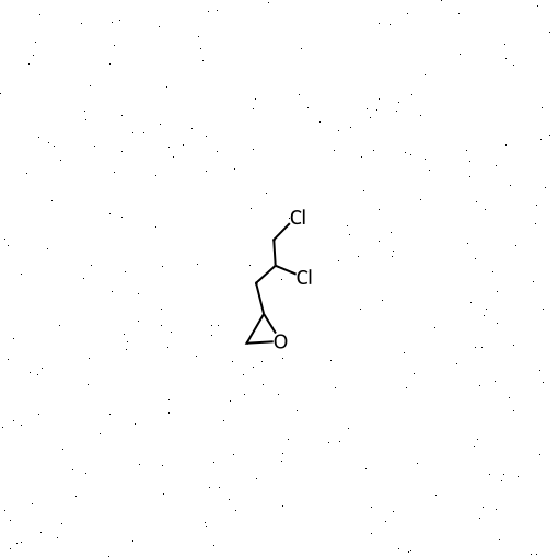 ClCC(Cl)CC1CO1